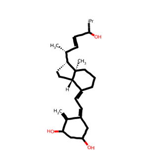 C=C1/C(=C\C=C2/CCC[C@]3(C)[C@@H]([C@H](C)/C=C/C(O)C(C)C)CC[C@@H]23)CC(O)CC1O